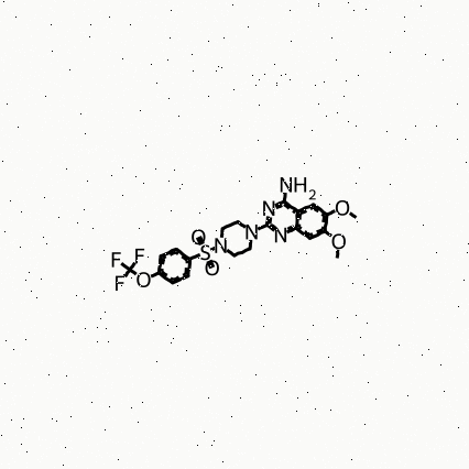 COc1cc2nc(N3CCN(S(=O)(=O)c4ccc(OC(F)(F)F)cc4)CC3)nc(N)c2cc1OC